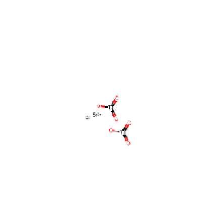 [Bi].[O]=[Ta](=[O])[O-].[O]=[Ta](=[O])[O-].[Sr+2]